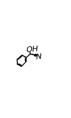 N#C[C](O)c1ccccc1